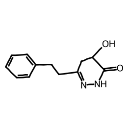 O=C1NN=C(CCc2ccccc2)CC1O